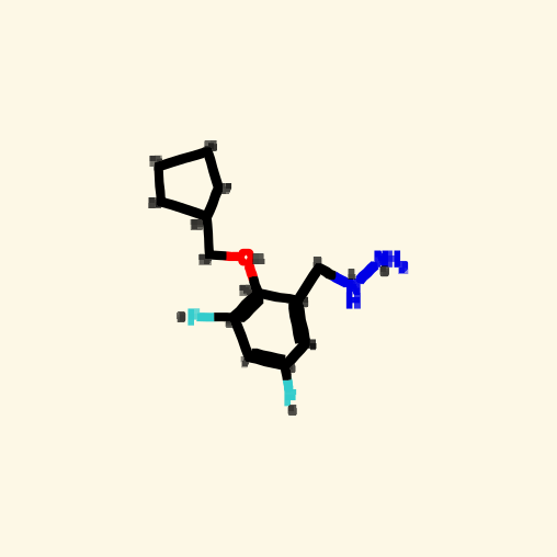 NNCc1cc(F)cc(F)c1OCC1CCCC1